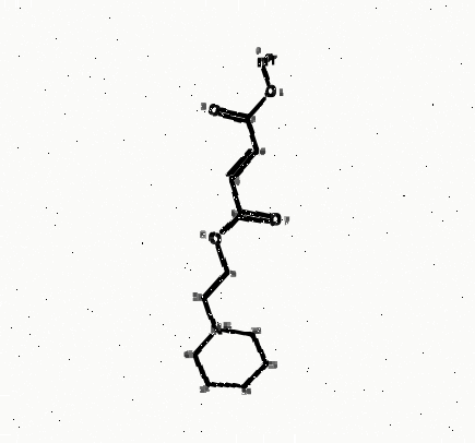 CCCOC(=O)/C=C/C(=O)OCCN1CCCCC1